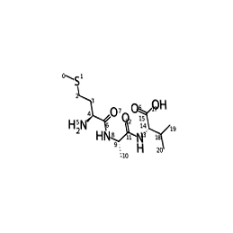 CSCC[C@H](N)C(=O)N[C@@H](C)C(=O)N[C@H](C(=O)O)C(C)C